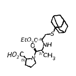 CCOC(=O)[C@H](CSC12CC3CC(CC(C3)C1)C2)N[C@@H](C)C(=O)N1CCC[C@H]1C(=O)O